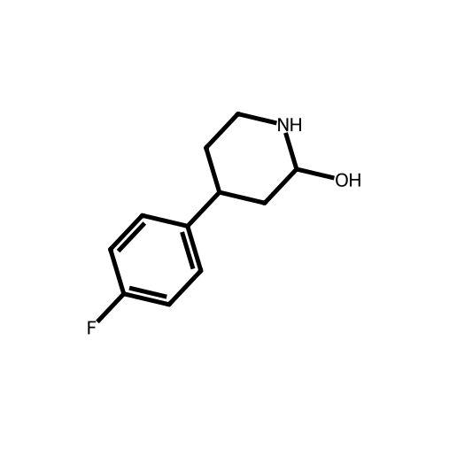 OC1CC(c2ccc(F)cc2)CCN1